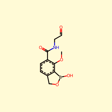 COc1c(C(=O)NCC=O)ccc2c1B(O)OC2